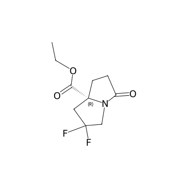 CCOC(=O)[C@]12CCC(=O)N1CC(F)(F)C2